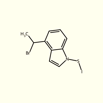 CC(Br)c1cccc2c1ccn2SI